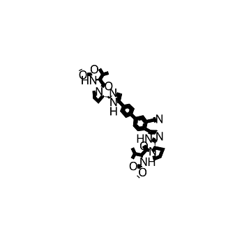 COC(=O)N[C@H](C(=O)N1CCC[C@H]1c1ncc(-c2ccc(-c3ccc(-c4cnc([C@@H]5CCCN5C(=O)[C@@H](NC(=O)OC)C(C)C)[nH]4)c(C#N)c3)cc2)[nH]1)C(C)C